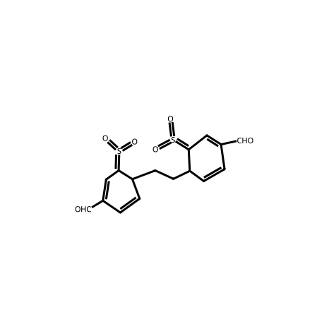 O=CC1=CC(=S(=O)=O)C(CCC2C=CC(C=O)=CC2=S(=O)=O)C=C1